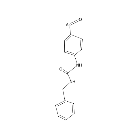 O=[As]c1ccc(NC(=O)NCc2ccccc2)cc1